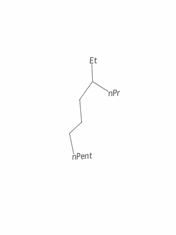 [CH2]CCCCCCCC(CC)CC[CH2]